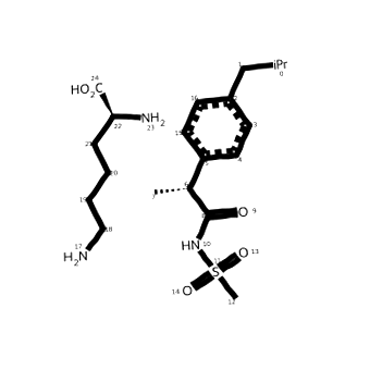 CC(C)Cc1ccc([C@@H](C)C(=O)NS(C)(=O)=O)cc1.NCCCC[C@H](N)C(=O)O